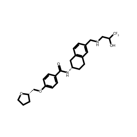 O=C(N[C@H]1CCc2cc(CNCC(O)C(F)(F)F)ccc2C1)c1ccc(OC[C@@H]2CCCO2)cc1